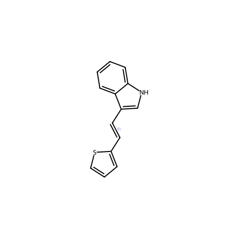 C(=C\c1c[nH]c2ccccc12)/c1cccs1